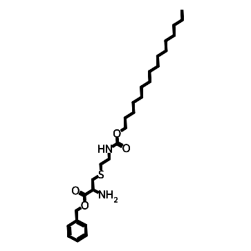 CCCCCCCCCCCCCCCCOC(=O)NCCSCC(N)C(=O)OCc1ccccc1